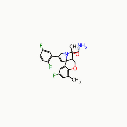 CC(=O)N1CC(c2cc(F)ccc2F)=CC12c1cc(F)cc(C)c1OCC2CCN